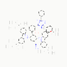 CC(C)(C)c1ccc2c(c1)c1cc(C(C)(C)C)ccc1n2-c1c(C#N)cc(-n2c3ccc(C(C)(C)C)cc3c3cc(C(C)(C)C)ccc32)c2c1oc1c(-c3nc(-c4ccccc4)nc(-c4ccccc4)n3)cccc12